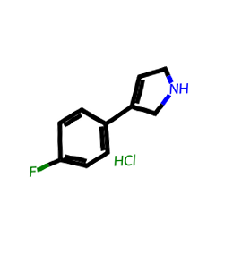 Cl.Fc1ccc(C2=CCNC2)cc1